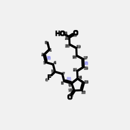 CC/C=C\CC(F)C/C=C1/C(=O)C=CC1C/C=C\CCCC(=O)O